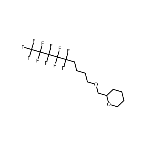 FC(F)(F)C(F)(F)C(F)(F)C(F)(F)C(F)(F)CCCCOCC1CCCCO1